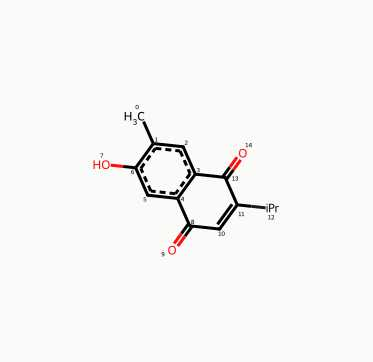 Cc1cc2c(cc1O)C(=O)C=C(C(C)C)C2=O